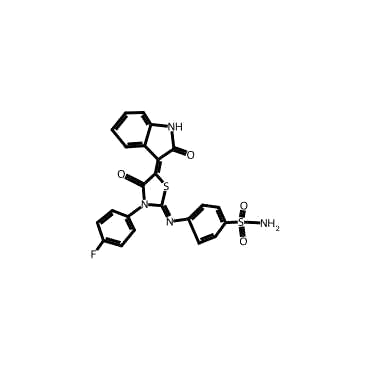 NS(=O)(=O)c1ccc(/N=C2\S/C(=C3\C(=O)Nc4ccccc43)C(=O)N2c2ccc(F)cc2)cc1